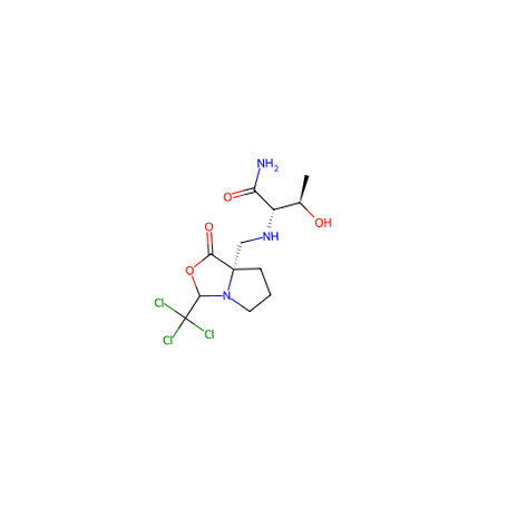 C[C@@H](O)[C@H](NC[C@]12CCCN1C(C(Cl)(Cl)Cl)OC2=O)C(N)=O